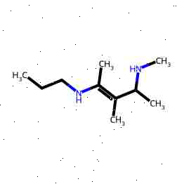 CCCN/C(C)=C(\C)C(C)NC